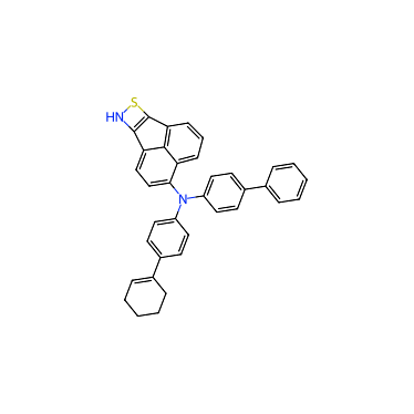 C1=C(c2ccc(N(c3ccc(-c4ccccc4)cc3)c3ccc4c5c(cccc35)-c3s[nH]c3-4)cc2)CCCC1